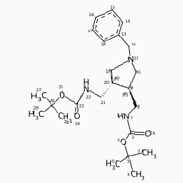 CC(C)(C)OC(=O)NC[C@@H]1CN(Cc2ccccc2)C[C@H]1CNC(=O)OC(C)(C)C